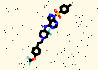 Cc1ccc(S(=O)(=O)n2ncc3c(N[C@@H]4CCN(CCc5ccc(OC(F)F)cc5)CC4(F)F)ncnc32)cc1